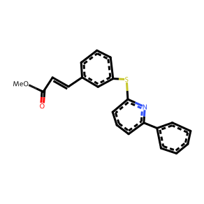 COC(=O)/C=C/c1cccc(Sc2cccc(-c3ccccc3)n2)c1